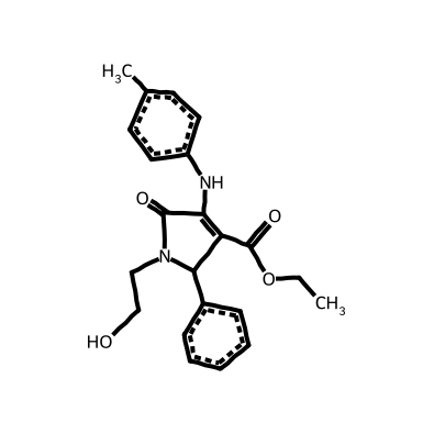 CCOC(=O)C1=C(Nc2ccc(C)cc2)C(=O)N(CCO)C1c1ccccc1